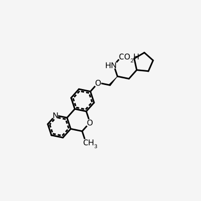 CC1Oc2cc(OC[C@H](CC3CCCC3)NC(=O)O)ccc2-c2ncccc21